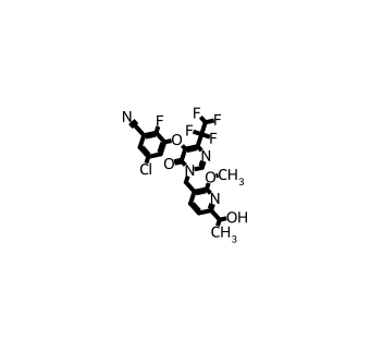 COc1nc(C(C)O)ccc1Cn1cnc(C(F)(F)C(F)F)c(Oc2cc(Cl)cc(C#N)c2F)c1=O